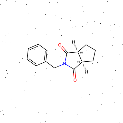 O=C1[C@H]2CCC[C@H]2C(=O)N1Cc1ccccc1